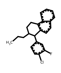 CCCC1CCc2c(ccc3ccccc23)C1c1ccc(Cl)c(F)c1